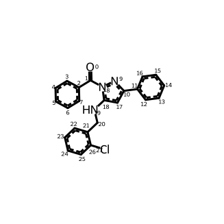 O=C(c1ccccc1)n1nc(-c2ccccc2)cc1NCc1ccccc1Cl